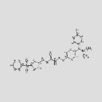 CN(C)C(c1ccc(F)cc1)C1CCC(CCNC(=O)COC2CCN(S(=O)(=O)c3ccccc3)C2)CC1